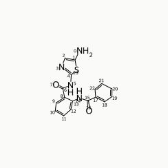 Nc1cnc(NC(=O)c2ccccc2NC(=O)c2ccccc2)s1